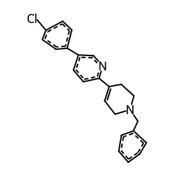 Clc1ccc(-c2ccc(C3=CCN(Cc4ccccc4)CC3)nc2)cc1